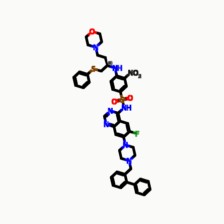 O=[N+]([O-])c1cc(S(=O)(=O)Nc2ncnc3cc(N4CCN(Cc5ccccc5-c5ccccc5)CC4)c(F)cc23)ccc1N[C@H](CCN1CCOCC1)CSc1ccccc1